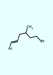 CC(=O)C=CCC(C)CCC(C)C